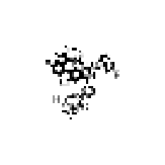 CCN(C(=O)n1cncn1)C1CCCN(c2nc(OC[C@@]34CCCN3C[C@H](F)C4)nc3c(F)c(-c4ccc(F)c5sc(N)c(C#N)c45)c(Cl)cc23)C1